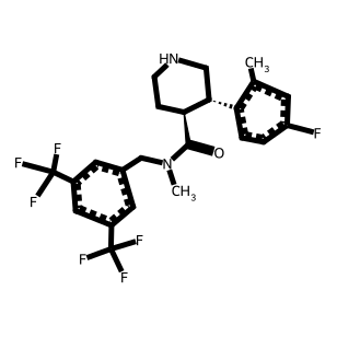 Cc1cc(F)ccc1[C@H]1CNCC[C@@H]1C(=O)N(C)Cc1cc(C(F)(F)F)cc(C(F)(F)F)c1